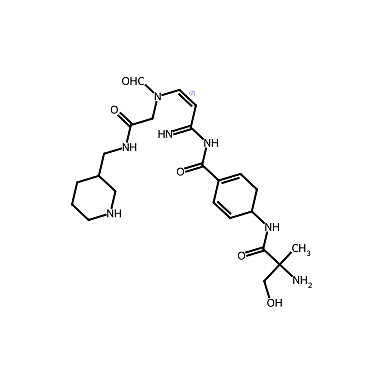 CC(N)(CO)C(=O)NC1C=CC(C(=O)NC(=N)/C=C\N(C=O)CC(=O)NCC2CCCNC2)=CC1